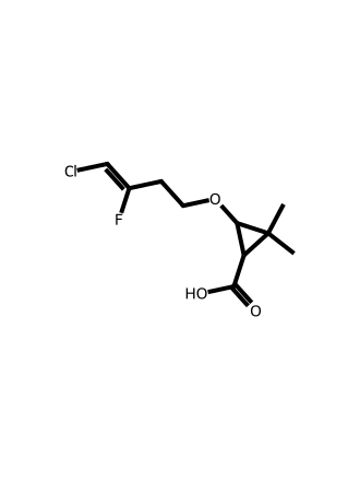 CC1(C)C(OCCC(F)=CCl)C1C(=O)O